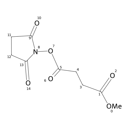 COC(=O)CCC(=O)ON1C(=O)CCC1=O